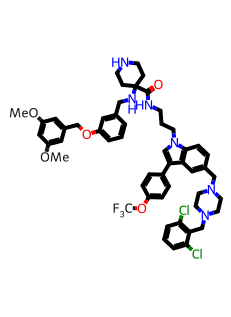 COc1cc(COc2cccc(CNC3(C(=O)NCCCn4cc(-c5ccc(OC(F)(F)F)cc5)c5cc(CN6CCN(Cc7c(Cl)cccc7Cl)CC6)ccc54)CCNCC3)c2)cc(OC)c1